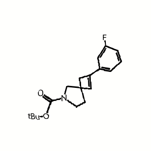 CC(C)(C)OC(=O)N1CCC2(C=C(c3cccc(F)c3)C2)C1